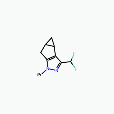 CC(C)n1nc(C(F)F)c2c1CC1CC21